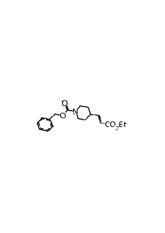 CCOC(=O)C=CC1CCN(C(=O)OCc2ccccc2)CC1